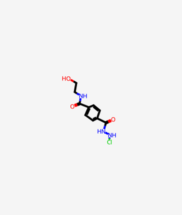 O=C(NCCO)c1ccc(C(=O)NNCl)cc1